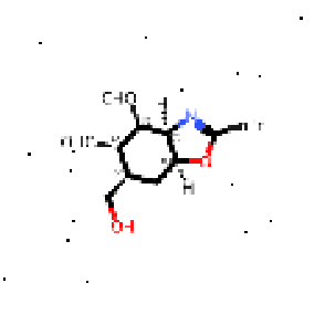 CCCC1=N[C@@H]2[C@H](C=O)[C@H](C=O)[C@H](CO)C[C@@H]2O1